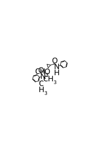 Cc1cccc(C)c1N(C)C(=O)OC1CC1C(=O)Nc1ccccc1